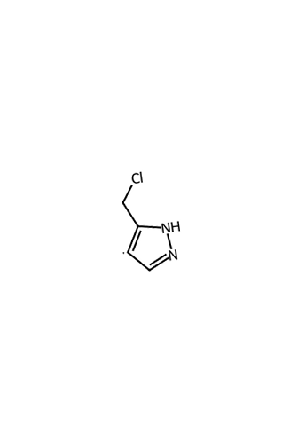 ClCc1[c]cn[nH]1